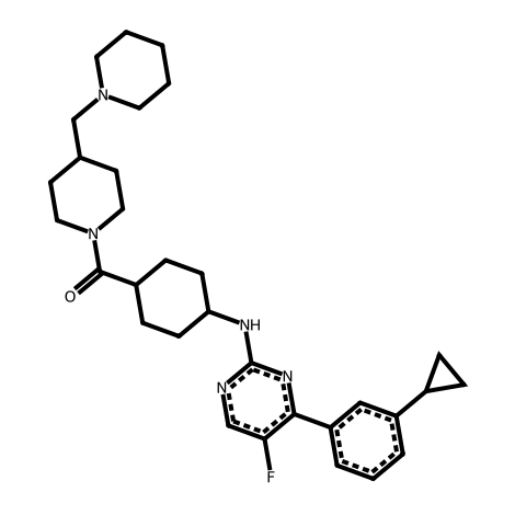 O=C(C1CCC(Nc2ncc(F)c(-c3cccc(C4CC4)c3)n2)CC1)N1CCC(CN2CCCCC2)CC1